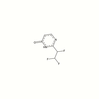 O=c1ccnc(C(F)C(F)F)[nH]1